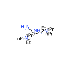 CCCN(CCC)C(CC)CCCC(N)(CCCN)CCCC(CC)N(CCC)CCC